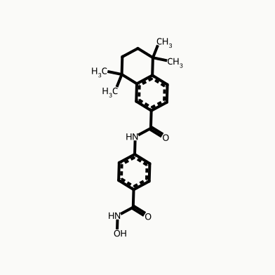 CC1(C)CCC(C)(C)c2cc(C(=O)Nc3ccc(C(=O)NO)cc3)ccc21